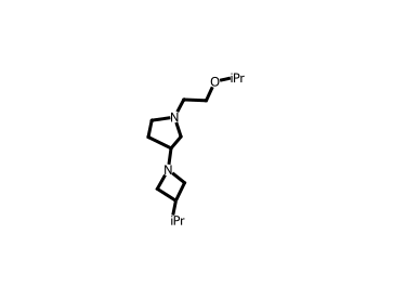 CC(C)OCCN1CCC(N2CC(C(C)C)C2)C1